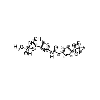 Cc1nc([C@@H](C)O)sc1-c1csc(NC(=O)Cc2ccc(S(=O)(=O)C(F)(F)F)cc2)n1